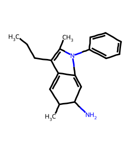 CCCc1c(C)n(-c2ccccc2)c2c1=CC(C)C(N)C=2